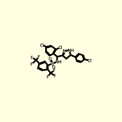 O=S(=O)(NC(C1=NNC(c2ccc(Cl)cc2)C1)c1ccc(Cl)cc1Cl)c1cc(C(F)(F)F)ccc1C(F)(F)F